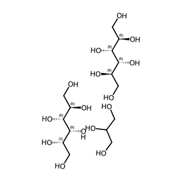 OCC(O)CO.OC[C@@H](O)[C@@H](O)[C@H](O)[C@@H](O)CO.OC[C@@H](O)[C@@H](O)[C@H](O)[C@H](O)CO